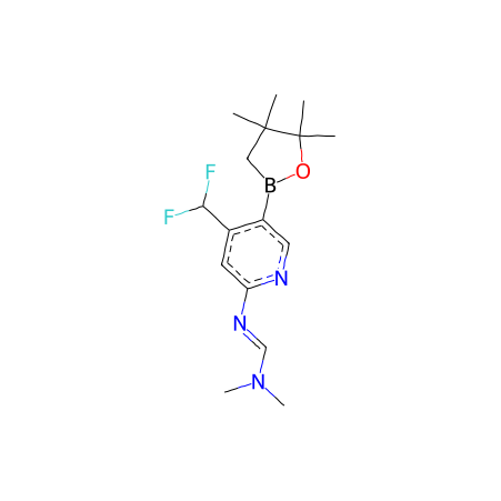 CN(C)/C=N/c1cc(C(F)F)c(B2CC(C)(C)C(C)(C)O2)cn1